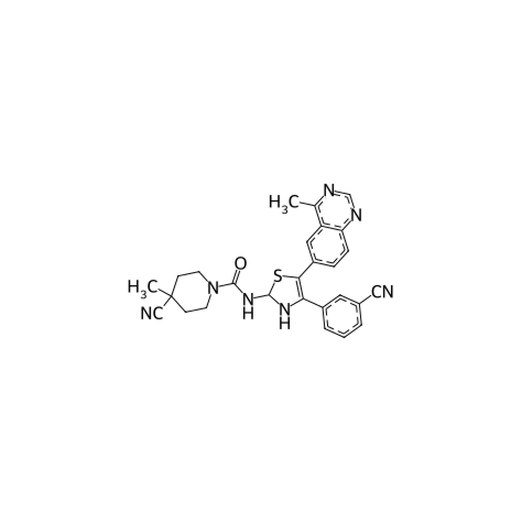 Cc1ncnc2ccc(C3=C(c4cccc(C#N)c4)NC(NC(=O)N4CCC(C)(C#N)CC4)S3)cc12